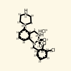 Cl.O=S1(=O)NCc2c(N3CCNCC3)cccc2N1Cc1cccc(Cl)c1Cl